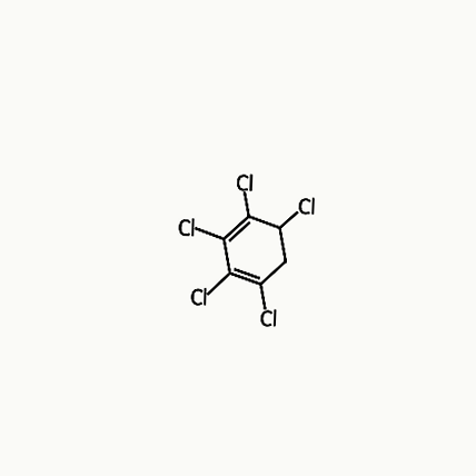 ClC1=C(Cl)C(Cl)=C(Cl)C(Cl)C1